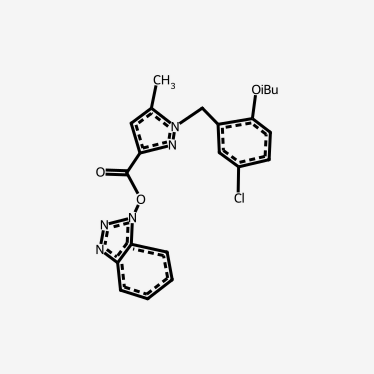 Cc1cc(C(=O)On2nnc3ccccc32)nn1Cc1cc(Cl)ccc1OCC(C)C